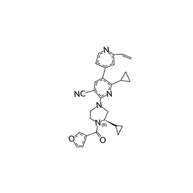 C=Cc1cc(-c2cc(C#N)c(N3CCN(C(=O)c4ccoc4)[C@H](C4CC4)C3)nc2C2CC2)ccn1